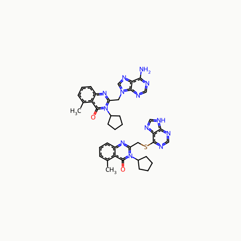 Cc1cccc2nc(CSc3ncnc4[nH]cnc34)n(C3CCCC3)c(=O)c12.Cc1cccc2nc(Cn3cnc4c(N)ncnc43)n(C3CCCC3)c(=O)c12